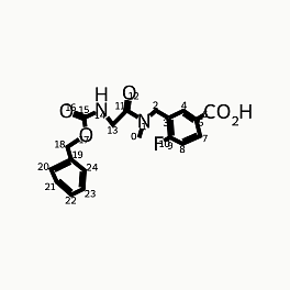 CN(Cc1cc(C(=O)O)ccc1F)C(=O)CNC(=O)OCc1ccccc1